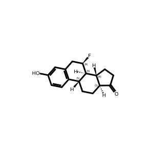 O=C1CC[C@H]2[C@@H]3[C@H](F)Cc4cc(O)ccc4[C@H]3CC[C@H]12